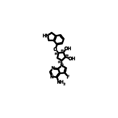 Nc1ncnc2c1c(F)cn2[C@H]1C[C@@H](Oc2cccc3c2CNC3)[C@@H](O)[C@H]1O